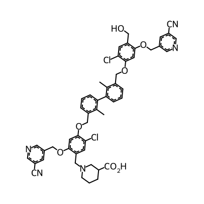 Cc1c(COc2cc(OCc3cncc(C#N)c3)c(CO)cc2Cl)cccc1-c1cccc(COc2cc(OCc3cncc(C#N)c3)c(CN3CCCC(C(=O)O)C3)cc2Cl)c1C